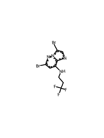 FC(F)(F)CCNc1cc(Br)nn2c(Br)cnc12